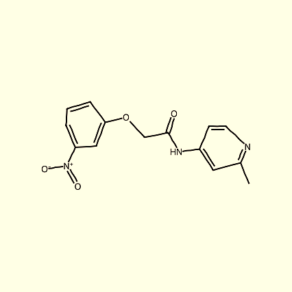 Cc1cc(NC(=O)COc2cccc([N+](=O)[O-])c2)ccn1